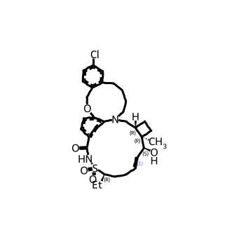 CC[C@@H]1CC/C=C/[C@H](O)[C@]2(C)CC[C@H]2CN2CCCCc3cc(Cl)ccc3COc3ccc(cc32)C(=O)NS1(=O)=O